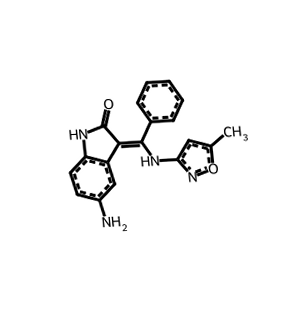 Cc1cc(NC(=C2C(=O)Nc3ccc(N)cc32)c2ccccc2)no1